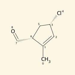 CC1=C[C@@H](Cl)C[C@H]1C=O